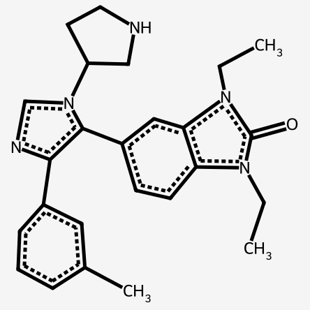 CCn1c(=O)n(CC)c2cc(-c3c(-c4cccc(C)c4)ncn3C3CCNC3)ccc21